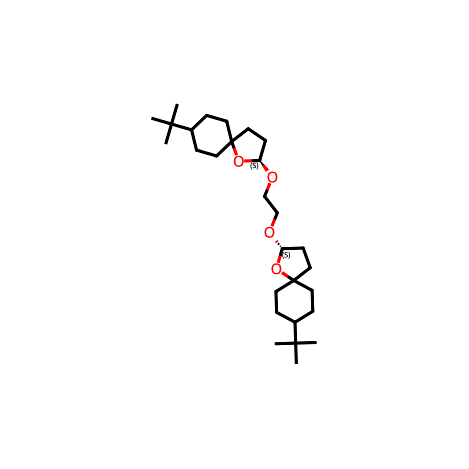 CC(C)(C)C1CCC2(CC1)CC[C@@H](OCCO[C@@H]1CCC3(CCC(C(C)(C)C)CC3)O1)O2